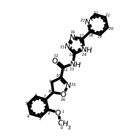 COc1ccccc1C1CC(C(=O)Nc2nnc(-c3ccccn3)[nH]2)=NO1